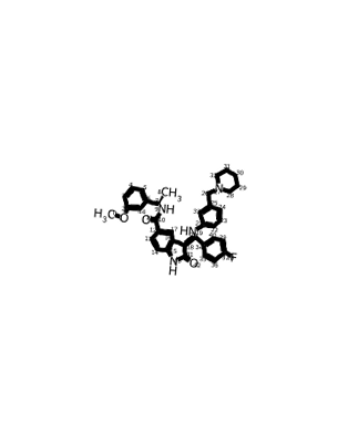 COc1cccc([C@@H](C)NC(=O)c2ccc3c(c2)C(=C(Nc2cccc(CN4CCCCC4)c2)c2ccc(F)cc2)C(=O)N3)c1